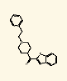 O=C(c1cc2ccccc2s1)C1CCN(CCc2ccccc2)CC1